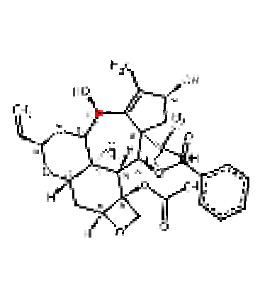 C=C[C@@H]1O[C@H]2C[C@H]3OC[C@@]3(OC(C)=O)[C@H]3[C@H](OC(=O)c4ccccc4)[C@]4(C(C)(C)O)C[C@H](O)C(C)=C4[C@H](O)[C@H](O1)[C@]23C